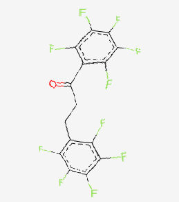 O=C(CCc1c(F)c(F)c(F)c(F)c1F)c1c(F)c(F)c(F)c(F)c1F